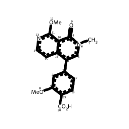 COc1cc(-c2cn(C)c(=O)c3c(OC)nccc23)ccc1C(=O)O